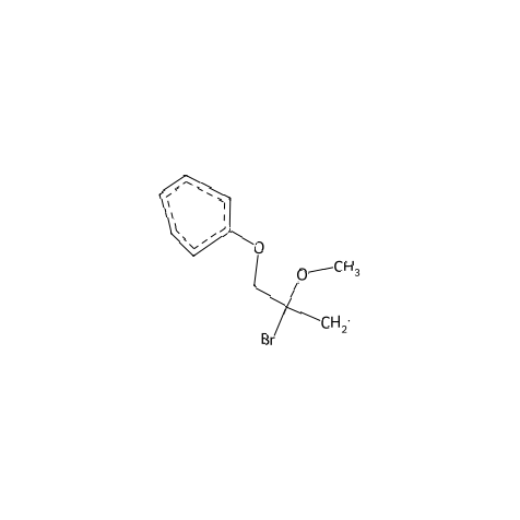 [CH2]C(Br)(COc1ccccc1)OC